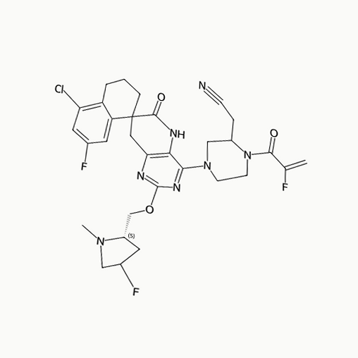 C=C(F)C(=O)N1CCN(c2nc(OC[C@@H]3CC(F)CN3C)nc3c2NC(=O)C2(CCCc4c(Cl)cc(F)cc42)C3)CC1CC#N